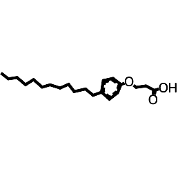 CCCCCCCCCCCCc1ccc(OCCC(=O)O)cc1